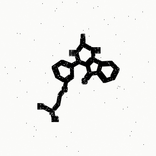 CCN(CC)CCOc1cccc(C2NC(=S)NC3=C2C(=O)c2ccccc23)c1